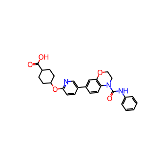 O=C(O)C1CCC(Oc2ccc(-c3ccc4c(c3)OCCN4C(=O)Nc3ccccc3)cn2)CC1